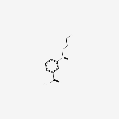 COC(=O)c1cccc(S(=O)OCCN)c1